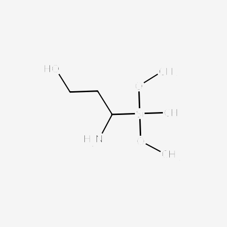 CO[Si](C)(OC)C(N)CCO